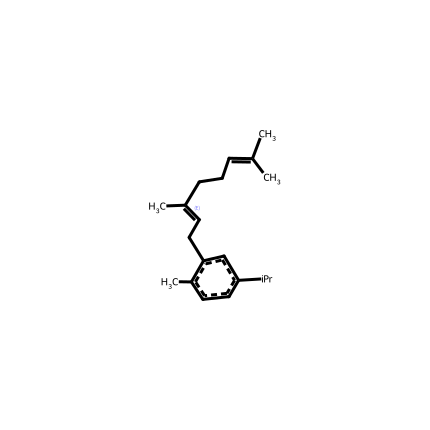 CC(C)=CCC/C(C)=C/Cc1cc(C(C)C)ccc1C